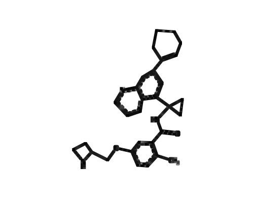 Cc1ccc(OCC2CCN2)cc1C(=O)NC1(c2cc(C3=CCCCC3)cc3ncccc23)CC1